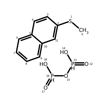 CSc1ccc2ccccc2c1.O=[PH](O)O[PH](=O)O